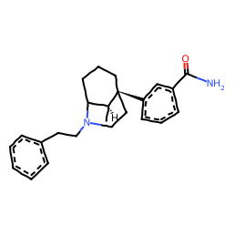 C[C@H]1C2CCC[C@]1(c1cccc(C(N)=O)c1)CCN2CCc1ccccc1